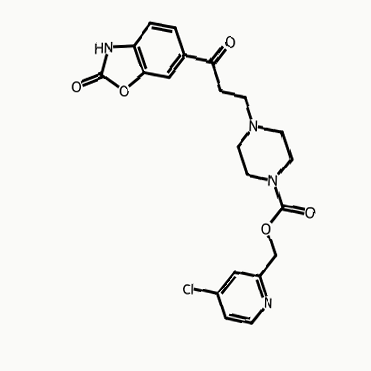 O=C(CCN1CCN(C(=O)OCc2cc(Cl)ccn2)CC1)c1ccc2[nH]c(=O)oc2c1